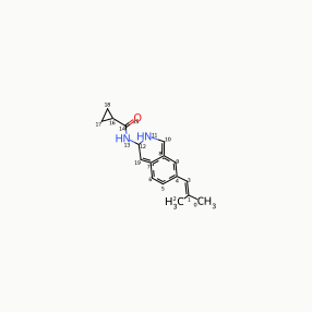 CC(C)=Cc1ccc2c(c1)=CNC(NC(=O)C1CC1)C=2